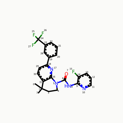 CC1(C)CCN(C(=O)Nc2ncccc2F)c2nc(-c3cccc(C(F)(F)F)c3)ccc21